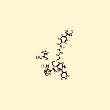 CCn1c(-c2nonc2N)nc2c(-c3ccccc3)ncc(OCCCCNCc3ccc(C(=O)OC)cc3)c21.O=C(O)C(F)(F)F